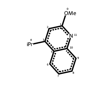 COc1cc(C(C)C)c2ccccc2n1